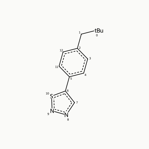 CC(C)(C)Cc1ccc(-c2cnns2)cc1